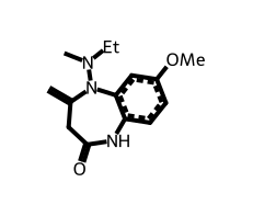 C=C1CC(=O)Nc2ccc(OC)cc2N1N(C)CC